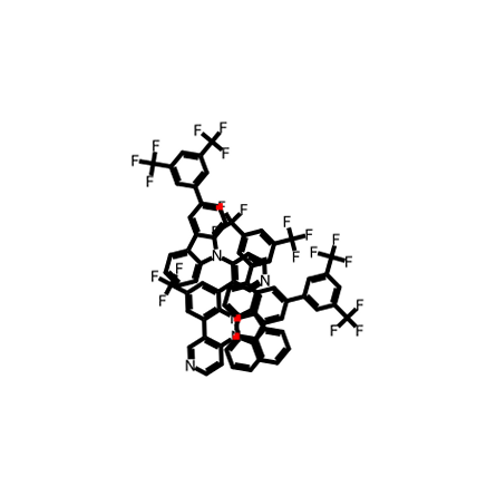 FC(F)(F)c1cc(-c2ccc3c(c2)c2ccccc2n3-c2ccncc2-c2cc(C(F)(F)F)cc(-c3cnccc3-n3c4ccccc4c4cc(-c5cc(C(F)(F)F)cc(C(F)(F)F)c5)ccc43)c2-n2c3ccccc3c3cc(-c4cc(C(F)(F)F)cc(C(F)(F)F)c4)ccc32)cc(C(F)(F)F)c1